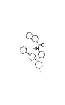 C[C@H]1CC[C@](c2cccc(NC(=O)c3ccc4ccccc4c3)c2)(N2CCN(c3ccccc3)CC2)CC1